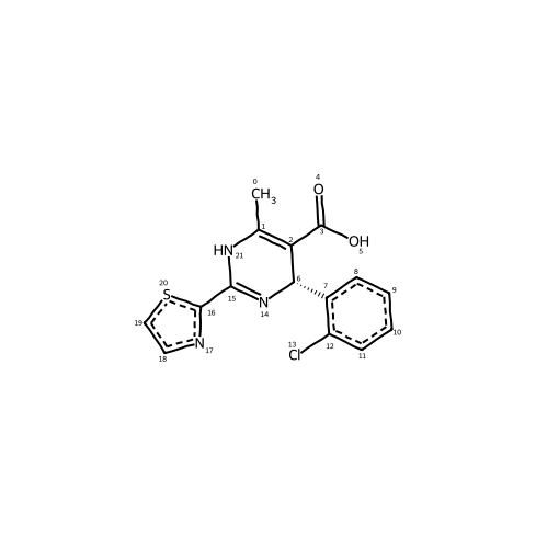 CC1=C(C(=O)O)[C@H](c2ccccc2Cl)N=C(c2nccs2)N1